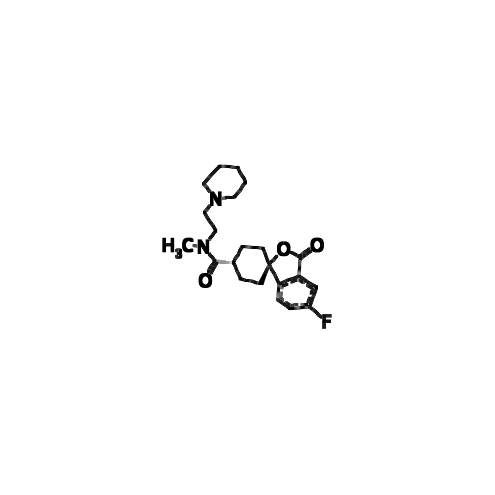 CN(CCN1CCCCC1)C(=O)[C@H]1CC[C@@]2(CC1)OC(=O)c1cc(F)ccc12